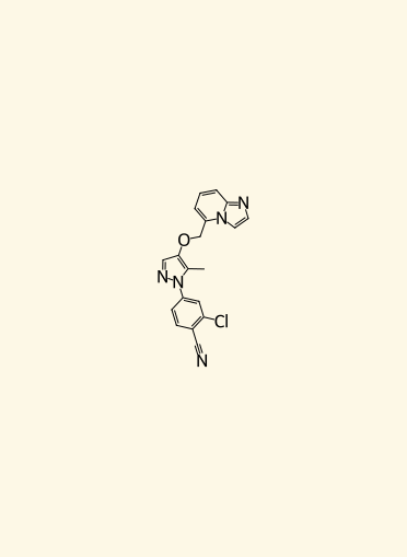 Cc1c(OCc2cccc3nccn23)cnn1-c1ccc(C#N)c(Cl)c1